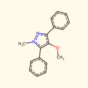 COc1c(-c2ccccc2)nn(C)c1-c1ccccc1